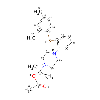 CC(=O)OC(C)(C)N1CCN(c2ccccc2Sc2ccc(C)cc2C)CC1